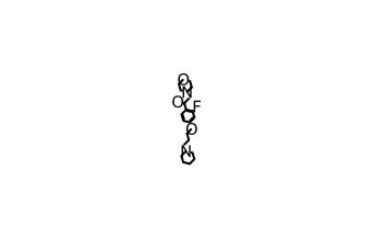 O=C(CN1CCOCC1)c1ccc(OCCCN2CCCCC2)cc1F